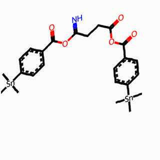 [CH3][Sn]([CH3])([CH3])[c]1ccc(C(=O)OC(=N)CCC(=O)OC(=O)c2cc[c]([Sn]([CH3])([CH3])[CH3])cc2)cc1